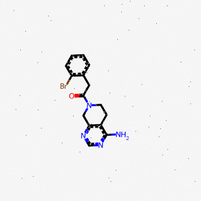 Nc1ncnc2c1CCN(C(=O)Cc1ccccc1Br)C2